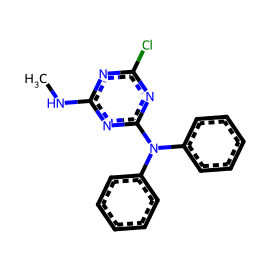 CNc1nc(Cl)nc(N(c2ccccc2)c2ccccc2)n1